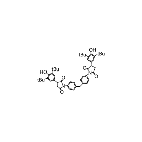 CC(C)(C)c1cc(C2CC(=O)N(c3ccc(Cc4ccc(N5C(=O)CC(c6cc(C(C)(C)C)c(O)c(C(C)(C)C)c6)C5=O)cc4)cc3)C2=O)cc(C(C)(C)C)c1O